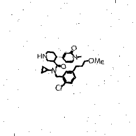 COCCCc1ccc(Cl)c(CN(C(=O)C2CNCC[C@@H]2c2ccn(C)c(=O)c2)C2CC2)c1